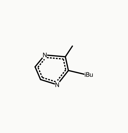 [CH2]C(CC)c1nccnc1C